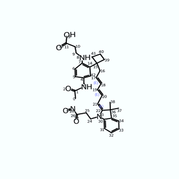 CC(=O)Nc1ccc(NCCC(=O)O)c(C2(C/C=C/C=C/C=C3/N(CCC(=O)N=O)c4ccccc4C3(C)C)CCC2)c1